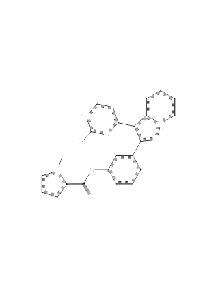 Cn1cccc1C(=O)Nc1cccc(-c2nn3ccccc3c2-c2ccnc(Cl)n2)c1